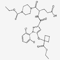 CCOC(=O)N1CCN(C(=O)C(CCC(=O)O)NC(=O)c2cc(OC3(C(=O)OCC)CCC3)n(-c3c(Cl)cccc3Cl)n2)CC1